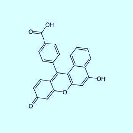 O=C(O)c1ccc(-c2c3ccc(=O)cc-3oc3cc(O)c4ccccc4c23)cc1